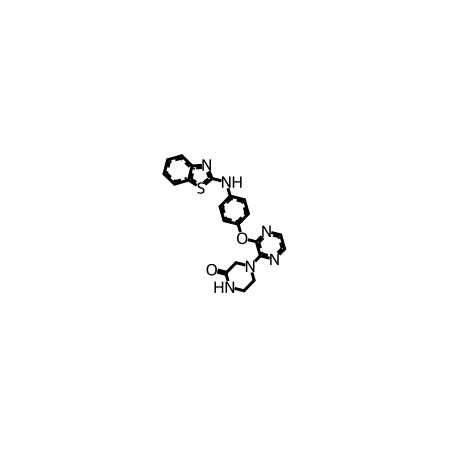 O=C1CN(c2nccnc2Oc2ccc(Nc3nc4ccccc4s3)cc2)CCN1